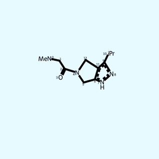 CNCC(=O)N1Cc2[nH]nc(C(C)C)c2C1